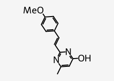 COc1ccc(C=Cc2nc(C)cc(O)n2)cc1